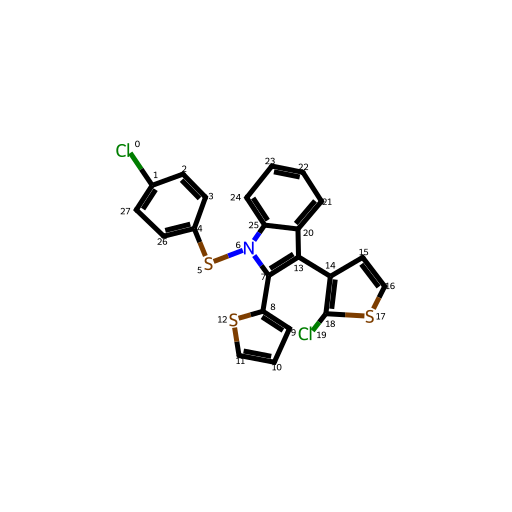 Clc1ccc(Sn2c(-c3cccs3)c(-c3ccsc3Cl)c3ccccc32)cc1